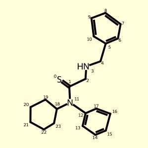 S=C(CNCc1ccccc1)N(c1ccccc1)C1CCCCC1